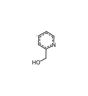 OCc1c[c]ccn1